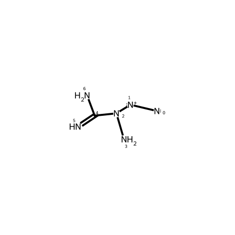 [N][N+]N(N)C(=N)N